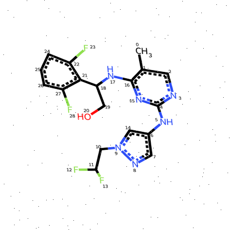 Cc1cnc(Nc2cnn(CC(F)F)c2)nc1NC(CO)c1c(F)cccc1F